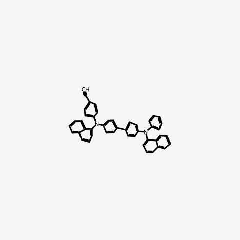 C#Cc1ccc(N(c2ccc(-c3ccc(N(c4ccccc4)c4cccc5ccccc45)cc3)cc2)c2cccc3ccccc23)cc1